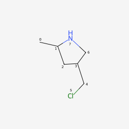 CC1CC(CCl)CN1